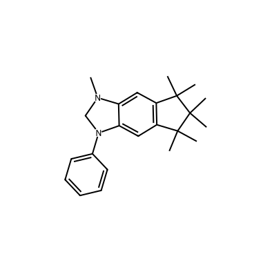 CN1CN(c2ccccc2)c2cc3c(cc21)C(C)(C)C(C)(C)C3(C)C